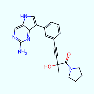 CC(O)(C#Cc1cccc(-c2c[nH]c3cnc(N)nc23)c1)C(=O)N1CCCC1